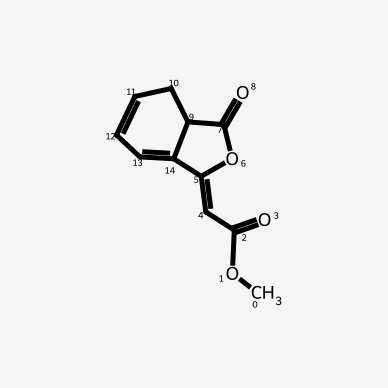 COC(=O)/C=C1\OC(=O)C2CC=CC=C12